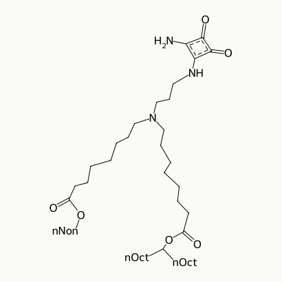 CCCCCCCCCOC(=O)CCCCCCCN(CCCCCCCC(=O)OC(CCCCCCCC)CCCCCCCC)CCCNc1c(N)c(=O)c1=O